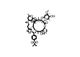 CC[C@H]1OC(=O)[C@H](C)[C@@H](O[C@H]2C[C@@](C)(OC)[C@@H](O)[C@H](C)O2)[C@H](C)[C@@H](O[C@@H]2O[C@H](C)C[C@H](N(C)CCc3cn(Cc4ccc(S(=O)(=O)N(C)C)cc4)nn3)[C@H]2O)[C@](C)(O)C[C@@H](C)CN(C)[C@H](C)[C@@H](O)[C@]1(C)O